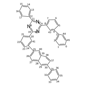 c1ccc(-c2cccc(-c3nc(-c4ccccc4)nc(-c4cccc(-c5ccc6cc(-c7ccccc7)ccc6c5)c4)n3)c2)cc1